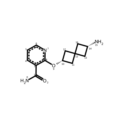 NC(=O)c1cccnc1O[C@H]1CC2(C[C@@H](N)C2)C1